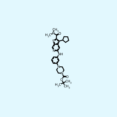 CN(C)C(=O)c1sc2cnc(Nc3cccc(N4CCN(C(=O)OC(C)(C)C)CC4)c3)cc2c1C1CCCC1